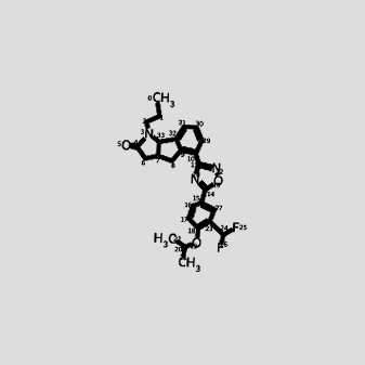 CCCN1C(=O)CC2Cc3c(-c4noc(-c5ccc(OC(C)C)c(C(F)F)c5)n4)cccc3C21